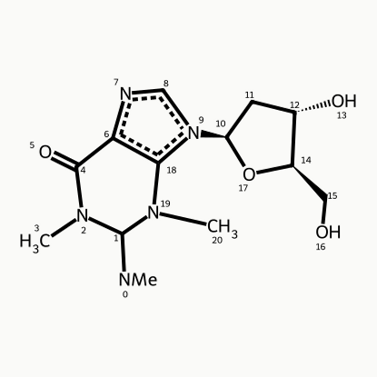 CNC1N(C)C(=O)c2ncn([C@H]3C[C@H](O)[C@@H](CO)O3)c2N1C